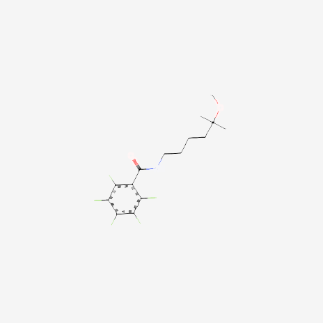 CCC(CC)(CCCCNC(=O)c1c(F)c(F)c(F)c(F)c1F)O[SiH3]